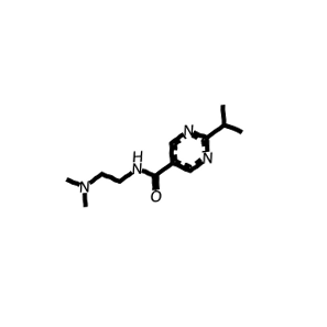 CC(C)c1ncc(C(=O)NCCN(C)C)cn1